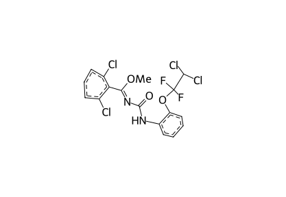 COC(=NC(=O)Nc1ccccc1OC(F)(F)C(Cl)Cl)c1c(Cl)cccc1Cl